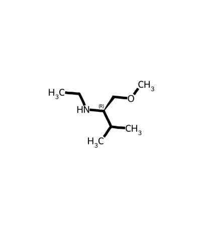 CCN[C@@H](COC)C(C)C